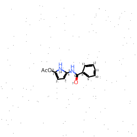 CC(=O)Oc1ccc(NC(=O)c2ccccc2)[nH]1